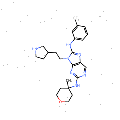 CC1(Nc2ncc3nc(Nc4cccc(C(F)(F)F)c4)n(CCC4CCNC4)c3n2)CCOCC1